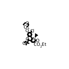 CCOC(=O)c1cc2c(n(C3CC3)c1=O)-c1cc(Cl)c(OC[C@H]3COCCO3)cc1OC2C1(C)COC1